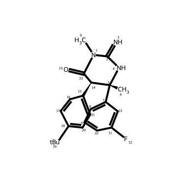 CN1C(=N)N[C@](C)(c2cccc(F)c2)[C@@H](c2ccc(C(C)(C)C)cc2)C1=O